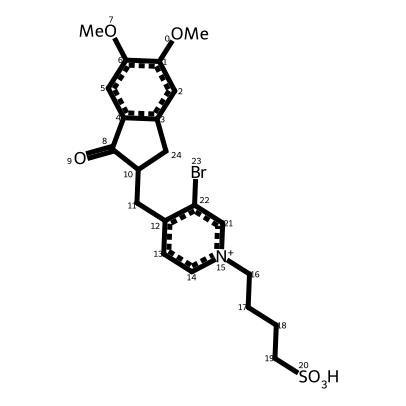 COc1cc2c(cc1OC)C(=O)C(Cc1cc[n+](CCCCS(=O)(=O)O)cc1Br)C2